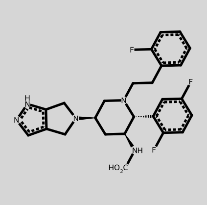 O=C(O)N[C@H]1C[C@@H](N2Cc3cn[nH]c3C2)CN(CCc2ccccc2F)[C@@H]1c1cc(F)ccc1F